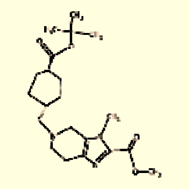 COC(=O)c1nc2c(n1C)CN(C[C@H]1CC[C@H](C(=O)OC(C)(C)C)CC1)CC2